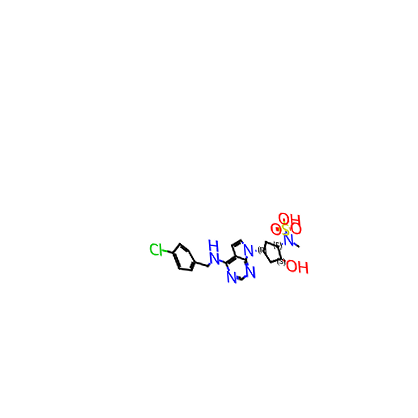 CN([C@H]1C[C@@H](n2ccc3c(NCc4ccc(Cl)cc4)ncnc32)C[C@@H]1O)S(=O)(=O)O